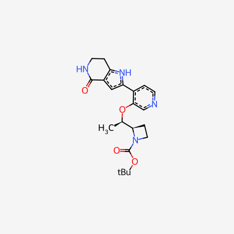 C[C@@H](Oc1cnccc1-c1cc2c([nH]1)CCNC2=O)[C@H]1CCN1C(=O)OC(C)(C)C